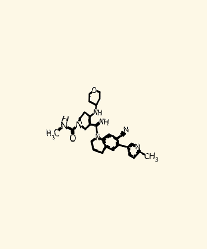 CNC(=O)N1CCC(NC2CCOCC2)=C(C(=N)N2CCCc3cc(-c4ccc(C)nc4)c(C#N)cc32)C1